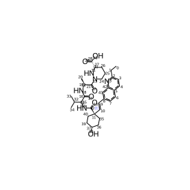 CCc1ccc2ccc(/C=C/[C@]3(C(=O)N[C@H](C(=O)N[C@@H](C)C(=O)N4CCC[C@@H](C(=O)O)N4)C(C)C)CC[C@@H](O)CC3)cc2n1